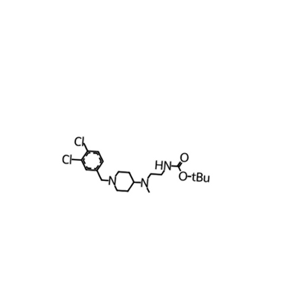 CN(CCNC(=O)OC(C)(C)C)C1CCN(Cc2ccc(Cl)c(Cl)c2)CC1